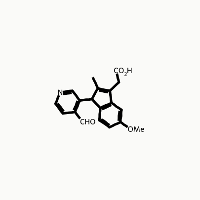 COc1ccc2c(c1)C(CC(=O)O)=C(C)C2c1cnccc1C=O